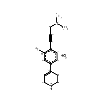 CN(C)CC#Cc1ccc(C2=CCNCC2)cc1F.Cl